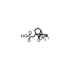 CC1(C)C2CCC1(CS(=O)(=O)O)C(=O)C2Br